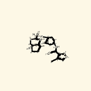 Cc1conc1C(=O)Nc1ccc(F)c([C@]23CCC[C@H]2CSC(N)=N3)c1